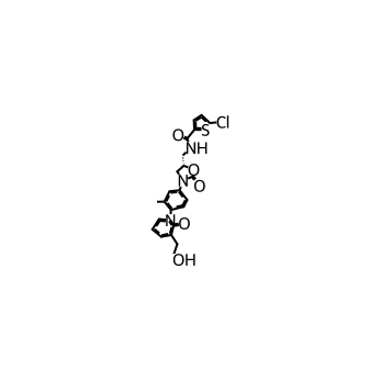 Cc1cc(N2C[C@H](CNC(=O)c3ccc(Cl)s3)OC2=O)ccc1-n1cccc(CCO)c1=O